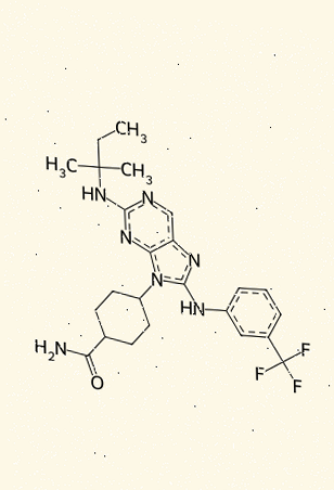 CCC(C)(C)Nc1ncc2nc(Nc3cccc(C(F)(F)F)c3)n(C3CCC(C(N)=O)CC3)c2n1